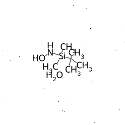 CC(C)(C)[Si](C)(C)NO.O